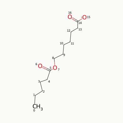 CCCCCC(=O)OCCCCCCC([O])=O